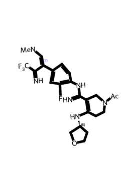 CN/C=C(\C(=N)C(F)(F)F)c1ccc(NC(=N)C2=C(N[C@@H]3CCOC3)CCN(C(C)=O)C2)c(F)c1